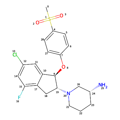 CS(=O)(=O)c1ccc(O[C@@H]2c3cc(Cl)cc(F)c3C[C@H]2N2CCC[C@@H](N)C2)cc1